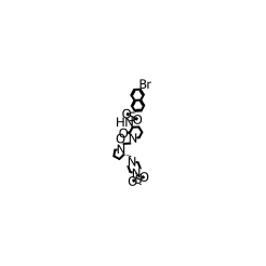 CS(=O)(=O)N1CCN(C[C@@H]2CCCN2C(=O)CN2CCC[C@H](NS(=O)(=O)c3ccc4cc(Br)ccc4c3)C2=O)CC1